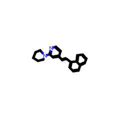 C(=C\c1cccc2ccccc12)/c1ccnc(N2CCCCC2)c1